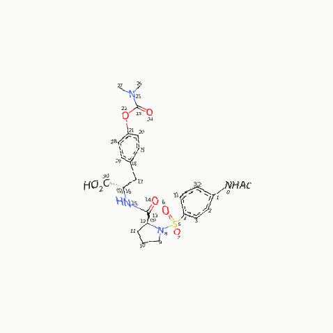 CC(=O)Nc1ccc(S(=O)(=O)N2CCC[C@H]2C(=O)N[C@@H](Cc2ccc(OC(=O)N(C)C)cc2)C(=O)O)cc1